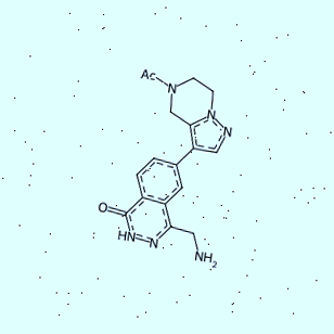 CC(=O)N1CCn2ncc(-c3ccc4c(=O)[nH]nc(CN)c4c3)c2C1